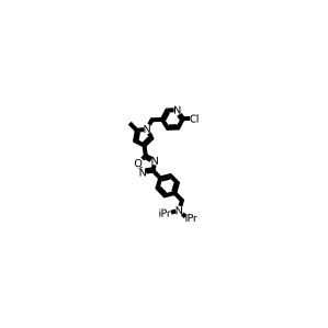 Cc1cc(-c2nc(-c3ccc(CN(C(C)C)C(C)C)cc3)no2)cn1Cc1ccc(Cl)nc1